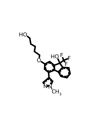 Cn1cc(-c2cc(OCCCCCO)cc3c2-c2ccccc2C3(O)C(F)(F)F)cn1